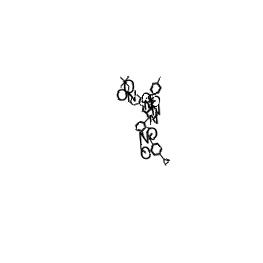 Cc1ccc(S(=O)(=O)n2c(C3=CCN(C(=O)OC(C)(C)C)CC3)cc3c(-c4cccc(N5CCOc6cc(C7CC7)ccc6C5=O)c4C)ncnc32)cc1